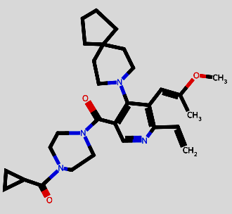 C=Cc1ncc(C(=O)N2CCN(C(=O)C3CC3)CC2)c(N2CCC3(CCCC3)CC2)c1/C=C(\C)OC